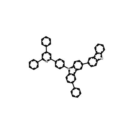 c1ccc(-c2cc(-c3ccccc3)nc(-c3ccc(-n4c5ccc(-c6ccccc6)cc5c5cc(-c6ccc7oc8ccccc8c7c6)ccc54)cc3)c2)cc1